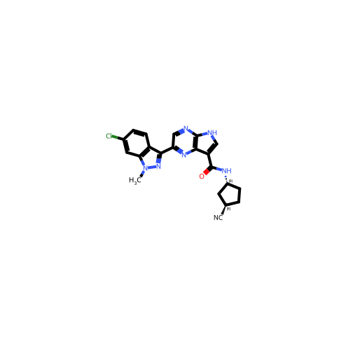 Cn1nc(-c2cnc3[nH]cc(C(=O)N[C@@H]4CC[C@@H](C#N)C4)c3n2)c2ccc(Cl)cc21